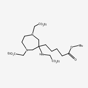 CCOC(=O)CNC1(CCCCC(=O)OC(C)(C)C)CN(CC(=O)OCC)CCN(CC(=O)OCC)C1